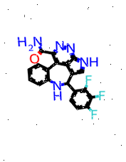 NC(=O)c1nnc2[nH]cc3c2c1-c1ccccc1NC3c1ccc(F)c(F)c1F